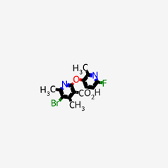 Cc1nc(F)ccc1Oc1nc(C)c(Br)c(C)c1C(=O)O